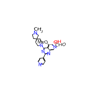 COc1cncc2nc(-c3ccncc3)nc(N3CCC4(CCN(C)C4)CC3)c12.O=CO